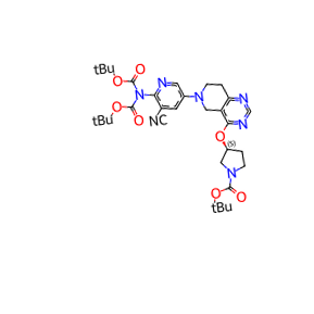 CC(C)(C)OC(=O)N1CC[C@H](Oc2ncnc3c2CN(c2cnc(N(C(=O)OC(C)(C)C)C(=O)OC(C)(C)C)c(C#N)c2)CC3)C1